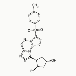 CC[C@@H]1C[C@H](O)C[C@@H]1c1nnc2cnc3c(ccn3S(=O)(=O)c3ccc(C)cc3)n12